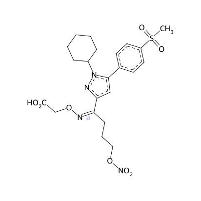 CS(=O)(=O)c1ccc(-c2cc(/C(CCCO[N+](=O)[O-])=N\OCC(=O)O)nn2C2CCCCC2)cc1